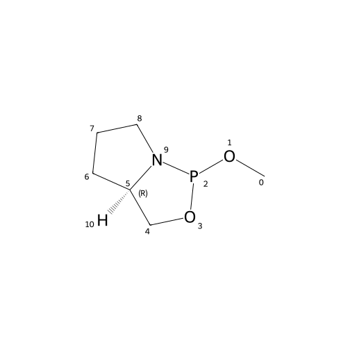 COP1OC[C@H]2CCCN21